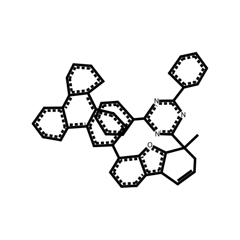 CC1(c2nc(-c3ccccc3)nc(-c3ccccc3)n2)CC=Cc2c1oc1c(-c3ccc4c5ccccc5c5ccccc5c4c3)cccc21